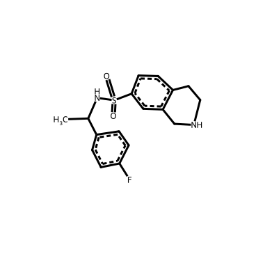 CC(NS(=O)(=O)c1ccc2c(c1)CNCC2)c1ccc(F)cc1